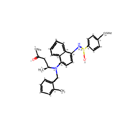 COC(=O)C[C@H](C)N(Cc1ccccc1C)c1ccc(N[S+]([O-])c2ccc(OC)cc2)c2ccccc12